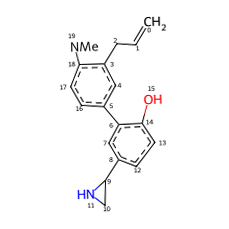 C=CCc1cc(-c2cc(C3CN3)ccc2O)ccc1NC